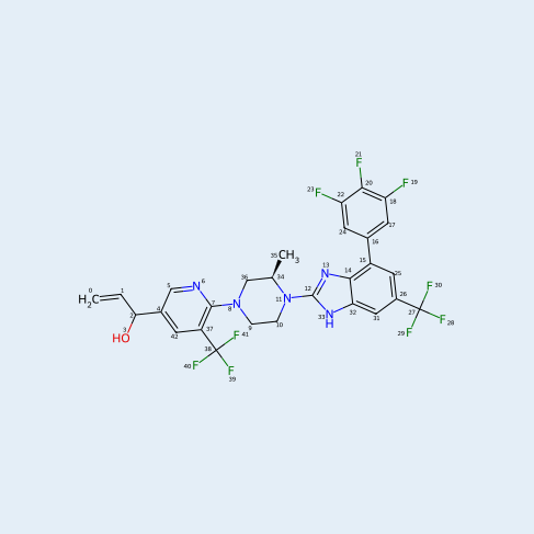 C=CC(O)c1cnc(N2CCN(c3nc4c(-c5cc(F)c(F)c(F)c5)cc(C(F)(F)F)cc4[nH]3)[C@H](C)C2)c(C(F)(F)F)c1